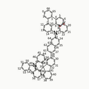 c1ccc(-c2ccccc2-c2ccccc2N(c2ccccc2)c2ccc3cc(-c4ccc5c(c4)C4(c6ccccc6-5)c5ccccc5-n5c6ccccc6c6cccc4c65)ccc3c2)cc1